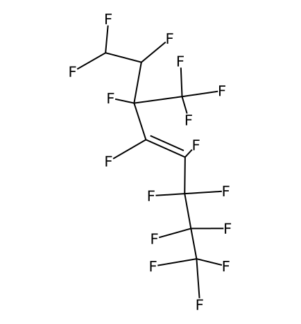 FC(=C(F)C(F)(C(F)C(F)F)C(F)(F)F)C(F)(F)C(F)(F)C(F)(F)F